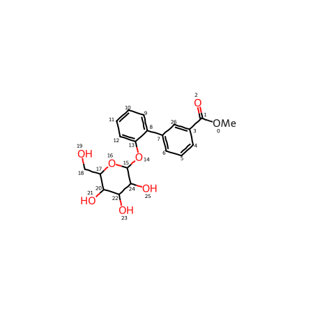 COC(=O)c1cccc(-c2ccccc2OC2OC(CO)C(O)C(O)C2O)c1